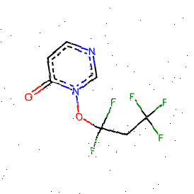 O=c1ccncn1OC(F)(F)CC(F)(F)F